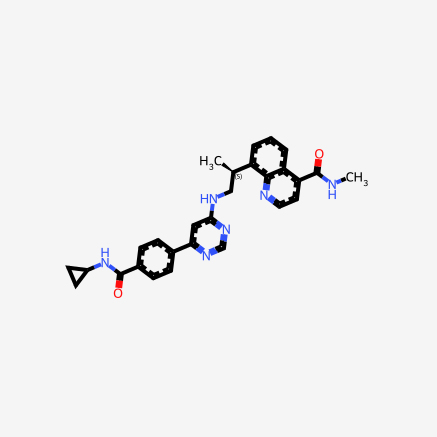 CNC(=O)c1ccnc2c([C@H](C)CNc3cc(-c4ccc(C(=O)NC5CC5)cc4)ncn3)cccc12